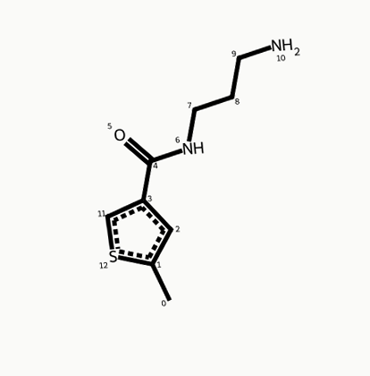 Cc1cc(C(=O)NCCCN)cs1